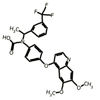 COc1cc2nccc(Oc3ccc(N(C(=O)O)C(C)c4cccc(C(F)(F)F)c4)cc3)c2cc1OC